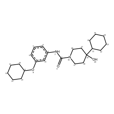 O=C(Nc1cccc(OC2CCCCC2)c1)N1CCC(O)(C2CCCCC2)CC1